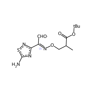 CC(CO/N=C(\[C]=O)c1nsc(N)n1)C(=O)OC(C)(C)C